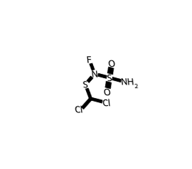 NS(=O)(=O)N(F)SC(Cl)Cl